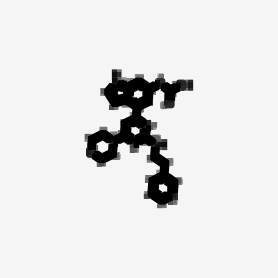 O=C(O)Oc1cc(-c2cc(N3CCOCC3)nc(NCCc3cccnc3)n2)c2cc[nH]c2c1